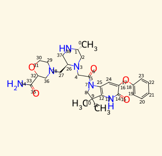 C[C@@H]1CN(CC(=O)N2CC(C)(C)c3[nH]c(=O)c(Oc4ccccc4)cc32)[C@@H](CN2CCOC(C(N)=O)C2)CN1